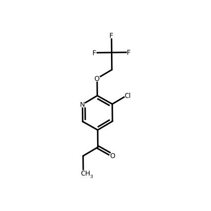 CCC(=O)c1cnc(OCC(F)(F)F)c(Cl)c1